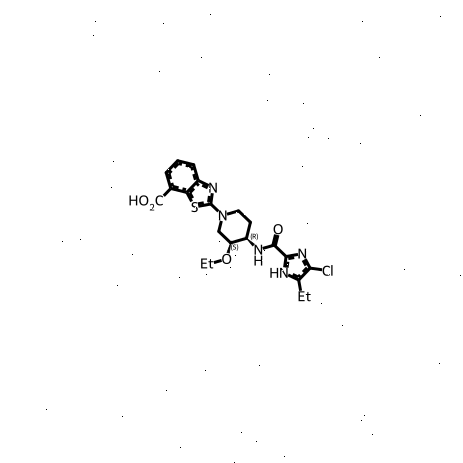 CCO[C@H]1CN(c2nc3cccc(C(=O)O)c3s2)CC[C@H]1NC(=O)c1nc(Cl)c(CC)[nH]1